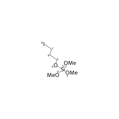 CO[Si](OC)(OC)OCCCI